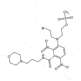 CS(=O)(=O)OCCN(CCBr)c1ccc([N+](=O)[O-])c(C(=O)NCCCN2CCOCC2)c1[N+](=O)[O-]